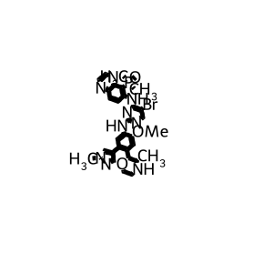 COc1cc(C2OCCNC2C)c(-c2cnn(C)c2)cc1Nc1ncc(Br)c(Nc2ccc3nccnc3c2P(C)(C)=O)n1